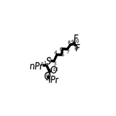 CCCC(SCCCCCCC(F)F)C(=O)OC(C)C